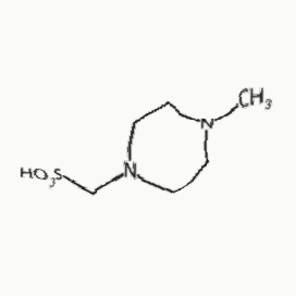 CN1CCN(CS(=O)(=O)O)CC1